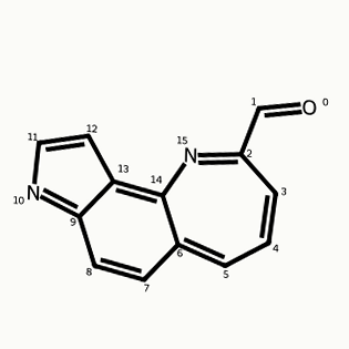 O=Cc1cccc2ccc3nccc3c2n1